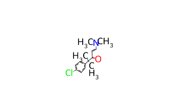 CN(C)C=CC(=O)C(C)(C)c1ccc(Cl)cc1